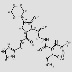 CC[C@H](C)[C@H](NC(=O)O)C(=O)NCC(=O)N1C(=O)N(C2CCCCC2)CC1C(=O)NCc1nn[nH]n1